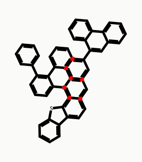 c1ccc(-c2ccccc2-c2c(-c3ccccc3)cccc2N(c2ccc(-c3cc4ccccc4c4ccccc34)cc2)c2cccc3c2sc2ccccc23)cc1